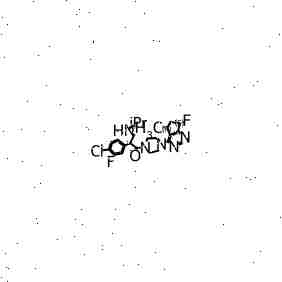 CC(C)NCC(C(=O)N1CCN(c2ncnc3c2[C@H](C)C[C@@H]3F)CC1)c1ccc(Cl)c(F)c1